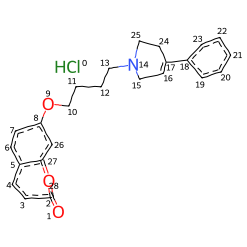 Cl.O=c1ccc2ccc(OCCCCN3CC=C(c4ccccc4)CC3)cc2o1